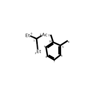 CCC(CC)C(C)=O.Cc1ccccc1C